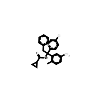 Cc1ccc(C(F)(F)F)cc1C(Cc1ccccc1)(NC(=O)C1CC1)c1ccc(Cl)cn1